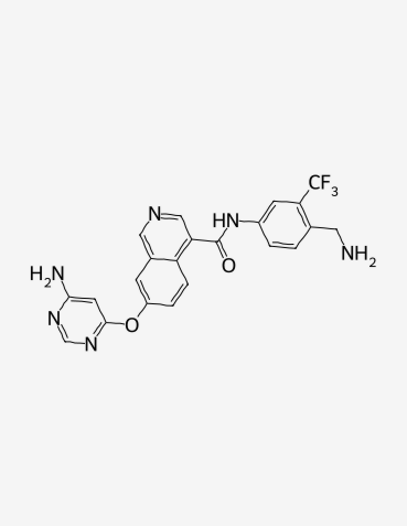 NCc1ccc(NC(=O)c2cncc3cc(Oc4cc(N)ncn4)ccc23)cc1C(F)(F)F